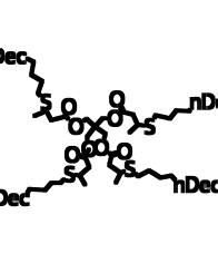 CCCCCCCCCCCCCCSC(C)CC(=O)OCC(COC(=O)CC(C)SCCCCCCCCCCCCCC)(COC(=O)CC(C)SCCCCCCCCCCCCCC)COC(=O)CC(C)SCCCCCCCCCCCCCC